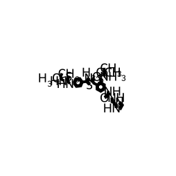 CC(C)NC(=S)Nc1ccc(-c2ncc(-c3ccc(NC(=O)NCc4ncc[nH]4)cc3[S+]([O-])NC(C)(C)C)s2)cc1